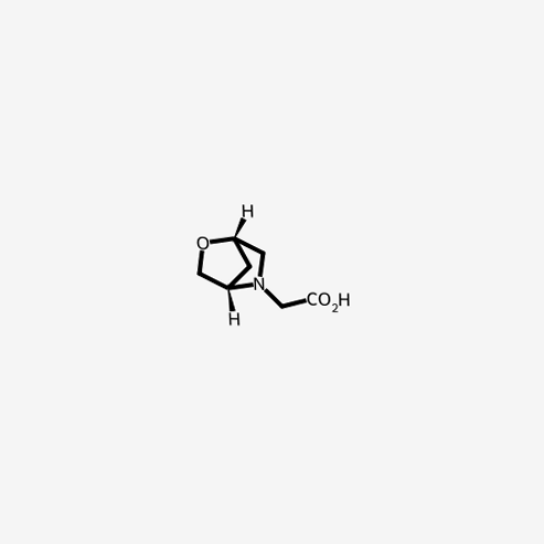 O=C(O)CN1C[C@@H]2C[C@H]1CO2